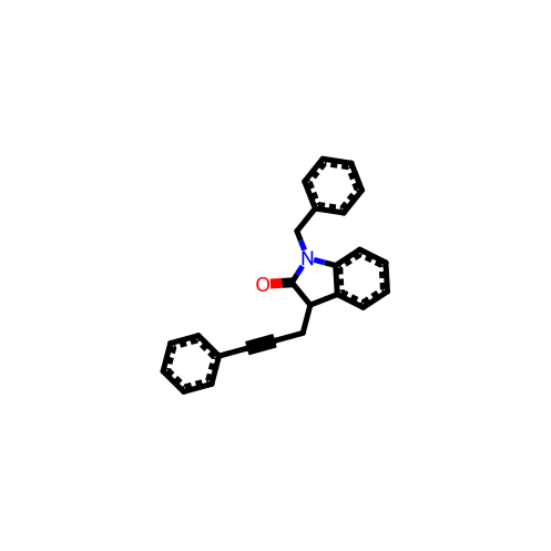 O=C1C(CC#Cc2ccccc2)c2ccccc2N1Cc1ccccc1